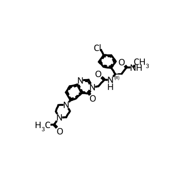 CNC(=O)C[C@@H](NC(=O)Cn1cnc2ccc(N3CCN(C(C)=O)CC3)cc2c1=O)c1ccc(Cl)cc1